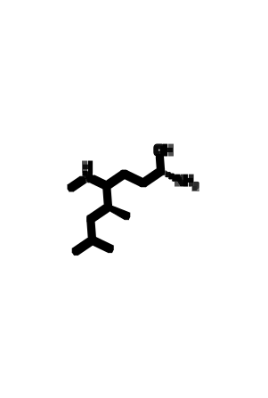 CNC(CC[C@@H](N)O)[C@@H](C)CC(C)C